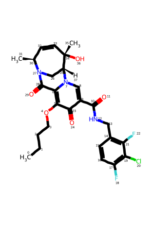 CCCCOc1c2n(cc(C(=O)NCc3ccc(F)c(Cl)c3F)c1=O)[C@@H]1CN(C2=O)[C@@H](C)C=C[C@]1(C)O